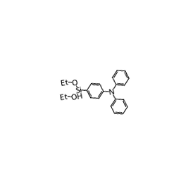 CCO[SiH](OCC)c1ccc(N(c2ccccc2)c2ccccc2)cc1